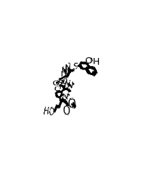 COC(=O)c1c(CCCO)c2ccc(Cl)c(-c3c(CS(=O)(=O)Cc4cc(CSc5cc(O)c6ccccc6c5)n(C)n4)nn(C)c3C)c2n1C